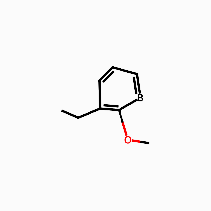 CCc1cccbc1OC